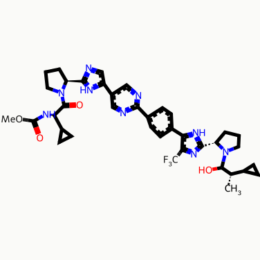 COC(=O)N[C@H](C(=O)N1CCC[C@H]1c1ncc(-c2cnc(-c3ccc(-c4[nH]c([C@@H]5CCCN5C(O)[C@@H](C)C5CC5)nc4C(F)(F)F)cc3)nc2)[nH]1)C1CC1